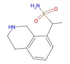 CC(c1cccc2c1CNCC2)S(N)(=O)=O